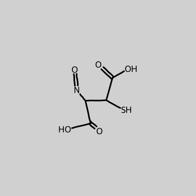 O=NC(C(=O)O)C(S)C(=O)O